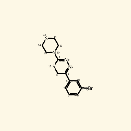 Brc1cccc(C2=NN=C(N3CCSCC3)SC2)c1